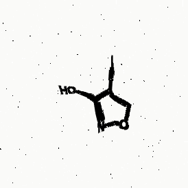 Oc1nocc1I